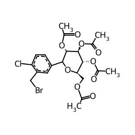 CC(=O)OC[C@H]1OC(c2ccc(Cl)c(CBr)c2)[C@H](OC(C)=O)[C@@H](OC(C)=O)[C@@H]1OC(C)=O